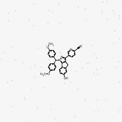 COc1ccc(C(c2ccc(OC)cc2)n2nc(-c3ccc(C#N)nc3)c3c2-c2ccc(O)cc2C3)cc1